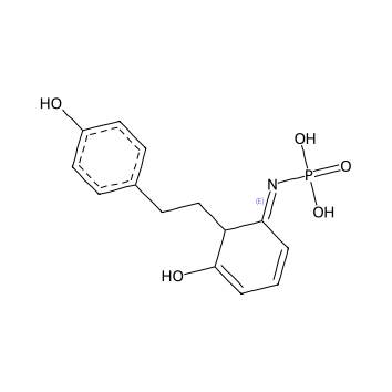 O=P(O)(O)/N=C1\C=CC=C(O)C1CCc1ccc(O)cc1